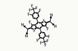 N#CC(C#N)=c1sc2c(-c3cc(F)c(C(F)(F)F)c(F)c3)c3c(F)c(=C(C#N)C#N)sc3c(-c3cc(F)c(C(F)(F)F)c(F)c3)c2c1F